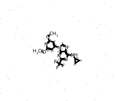 COc1cc(-n2cnc3c(NC4CC4)nc(C(F)(F)F)nc32)cc(OC)n1